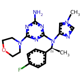 C[C@@H](c1ccc(F)cc1)N(c1cn(C)cn1)c1nc(N)nc(N2CCOCC2)n1